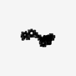 Cc1cccc(C2CCCC(CCCCNc3ccccc3C(=N)C(=O)N3CCCC3)CC2)c1C